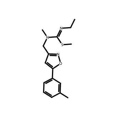 CCN=C(SC)N(C)Cc1cc(-c2cccc(C)c2)on1